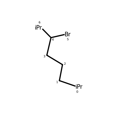 CC(C)CCCC(Br)C(C)C